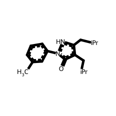 Cc1cccc(-n2[nH]c(CC(C)C)c(CC(C)C)c2=O)c1